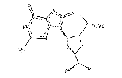 CC[C@H](O)C1C[C@@H]([C@H](C)OC)[C@H](n2c(=O)sc3c(=O)[nH]c(N)nc32)O1